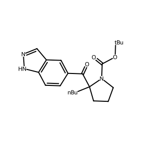 CCCCC1(C(=O)c2ccc3[nH]ncc3c2)CCCN1C(=O)OC(C)(C)C